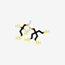 FP(CC(S)(S)CCS)P(F)CC(CCS)(CCS)CCS